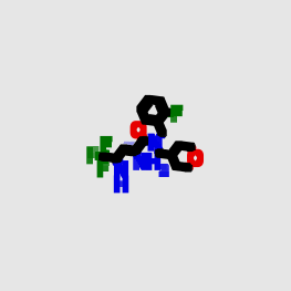 N=C(/C=C(\N)C(=O)N(Cc1ccccc1F)CC1CCOCC1)C(F)(F)F